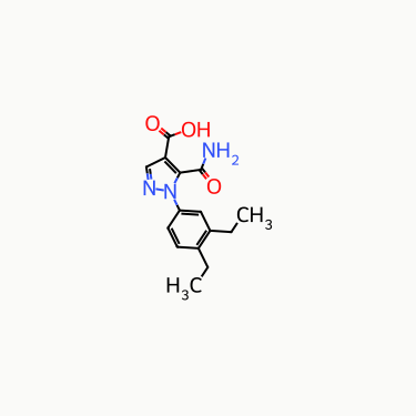 CCc1ccc(-n2ncc(C(=O)O)c2C(N)=O)cc1CC